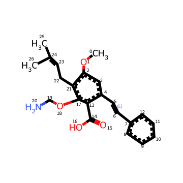 COc1cc(/C=C/c2ccccc2)c(C(=O)O)c(OCN)c1CC=C(C)C